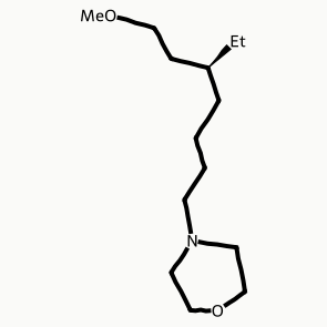 CC[C@@H](CCCCN1CCOCC1)CCOC